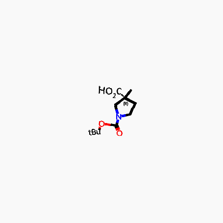 CC(C)(C)OC(=O)N1CC[C@@](C)(C(=O)O)C1